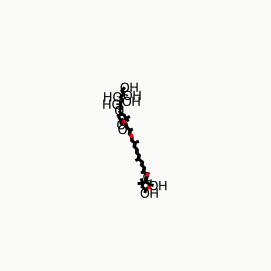 C\C(C=C=C1C(C)(C)CC(O)C[C@@]1(C)O)=C/C=C/C(C)=C/C=C/C=C(C)/C=C/C=C(\C)C(=O)CC12OC1(C)CC(OC[C@@H](O)[C@@H](O)[C@H](O)[C@H](O)CO)CC2(C)C